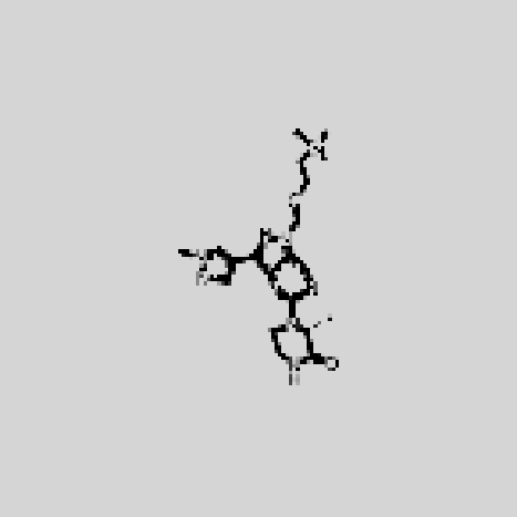 C[C@@H]1C(=O)NCCN1c1ncc2c(n1)c(-c1cnn(C)c1)nn2COCC[Si](C)(C)C